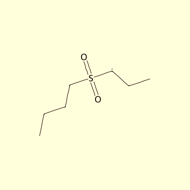 CC[CH]S(=O)(=O)CCCC